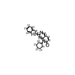 O=c1ccc2cnc(NCc3ccccc3)nc2n1C1CCCCC1